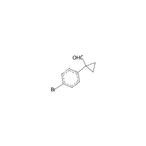 O=CC1(c2ccc(Br)cc2)CC1